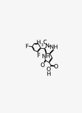 CN1NC=c2cc(C(=O)O)c(=O)[nH]c2=C1c1ccc(F)cc1F